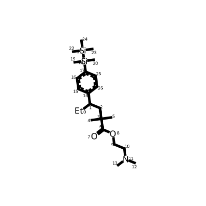 CCC(CC(C)(C)C(=O)OCCN(C)C)c1ccc([Si](C)(C)[Si](C)(C)C)cc1